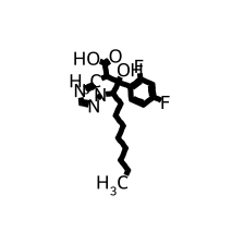 CCCCCCCCC(n1cncn1)C(O)(c1ccc(F)cc1F)C(C)C(=O)O